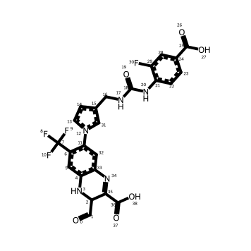 O=CC1Nc2cc(C(F)(F)F)c(-n3ccc(CNC(=O)Nc4ccc(C(=O)O)cc4F)c3)cc2N=C1C(=O)O